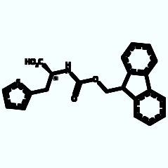 O=C(N[C@@H](Cc1cccs1)C(=O)O)OCC1c2ccccc2-c2ccccc21